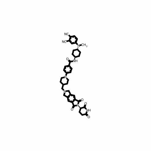 CN(c1ccc(C#N)c(C#N)c1)[C@H]1CC[C@H](NC(=O)c2ccc(N3CCC(CN4Cc5cc6c(cc5C4)C(=O)N([C@@H]4CCC(=O)NC4=O)C6=O)CC3)cc2)CC1